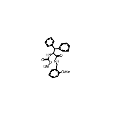 COc1ccccc1CNC(=O)C(NC(=O)OC(C)(C)C)C(c1ccccc1)c1ccccc1